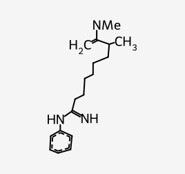 C=C(NC)C(C)CCCCCCC(=N)Nc1ccccc1